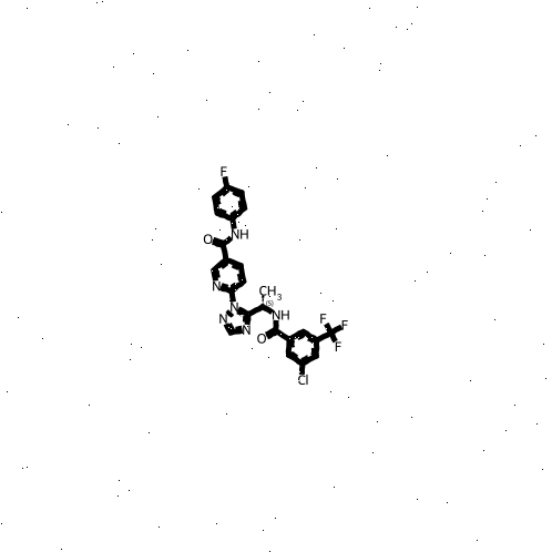 C[C@H](NC(=O)c1cc(Cl)cc(C(F)(F)F)c1)c1ncnn1-c1ccc(C(=O)Nc2ccc(F)cc2)cn1